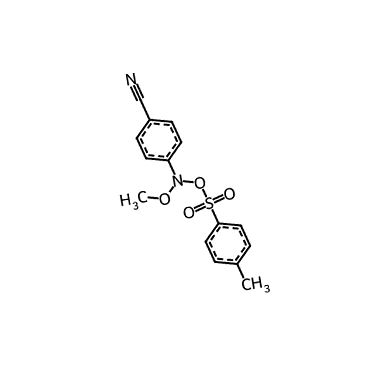 CON(OS(=O)(=O)c1ccc(C)cc1)c1ccc(C#N)cc1